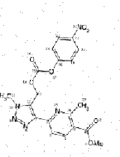 COC(=O)c1ccc(-c2nnn(C)c2COC(=O)Oc2ccc([N+](=O)[O-])cc2)nc1C